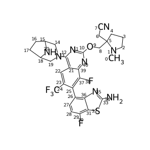 CN1CCCC1(CC#N)COc1nc(N2CC3CCC(C2)N3)c2cc(C(F)(F)F)c(-c3ccc(F)c4sc(N)nc34)c(F)c2n1